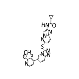 COc1cc(-c2ccc3nnc(Sc4ccc5nc(NC(=O)C6CC6)cn5n4)n3c2)ccn1